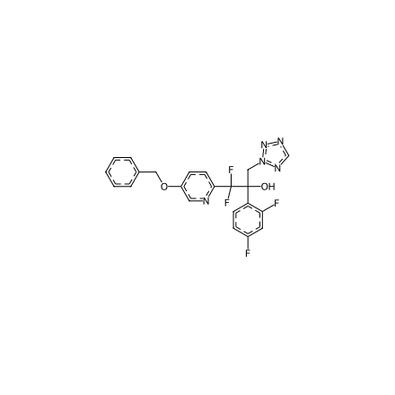 OC(Cn1ncnn1)(c1ccc(F)cc1F)C(F)(F)c1ccc(OCc2ccccc2)cn1